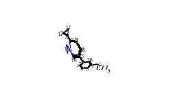 CCc1cccc(-c2ccc(C3CC3)nc2)c1